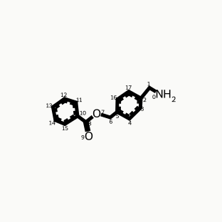 NCc1ccc(COC(=O)c2ccccc2)cc1